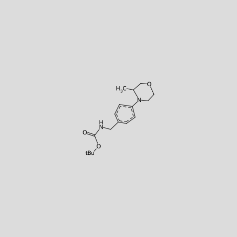 CC1COCCN1c1ccc(CNC(=O)OC(C)(C)C)cc1